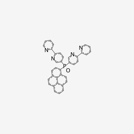 O=P(c1ccc(-c2ccccn2)nc1)(c1ccc(-c2ccccn2)nc1)c1ccc2ccc3cccc4ccc1c2c34